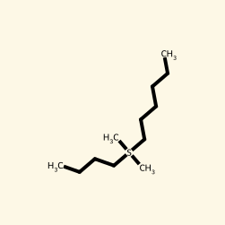 CCCCCCS(C)(C)CCCC